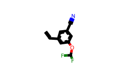 C=[C]c1cc(C#N)cc(OC(F)F)c1